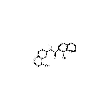 O=C(Nc1ccc2cccc(O)c2n1)c1ccc2cccnc2c1O